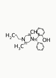 C=CCN1C[C@H](C)N([C@@H](c2ccccc2)c2ccccc2O)C[C@@H]1C